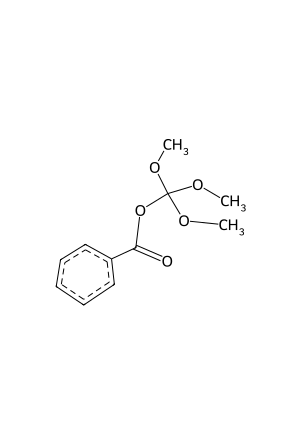 COC(OC)(OC)OC(=O)c1ccccc1